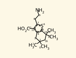 CC1(C)Cc2c(sc(CCN)c2C(=O)O)C(C)(C)C1